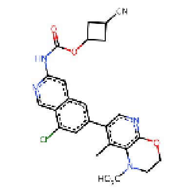 Cc1c(-c2cc(Cl)c3cnc(NC(=O)OC4CC(C#N)C4)cc3c2)cnc2c1N(C(=O)O)CCO2